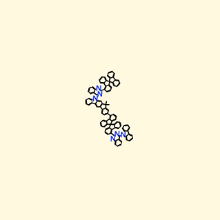 CC1(C)c2cc(-c3cccc4c3-c3ccccc3C43c4ccccc4-c4c(-c5nc(-n6c7ccccc7c7ccccc76)c6ccccc6n5)cccc43)ccc2-c2cc3c4ccccc4n(-c4nc(-c5cccc6c5-c5ccccc5C65c6ccccc6-c6ccccc65)nc5ccccc45)c3cc21